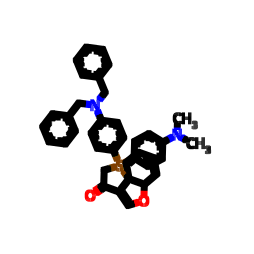 CN(C)c1ccc(S2(c3ccc(N(Cc4ccccc4)Cc4ccccc4)cc3)CC(=O)C3=COC4C=CC=CC342)cc1